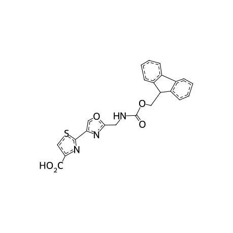 O=C(NCc1nc(-c2nc(C(=O)O)cs2)co1)OCC1c2ccccc2-c2ccccc21